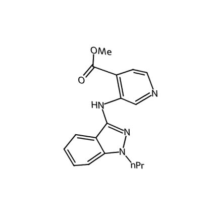 CCCn1nc(Nc2cnccc2C(=O)OC)c2ccccc21